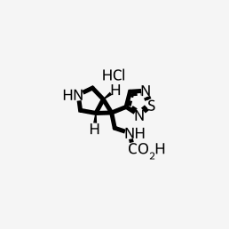 Cl.O=C(O)NCC1(c2cnsn2)[C@@H]2CNC[C@@H]21